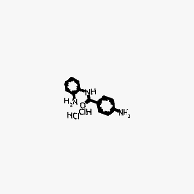 Cl.Cl.Nc1ccc(C(=O)Nc2ccccc2N)cc1